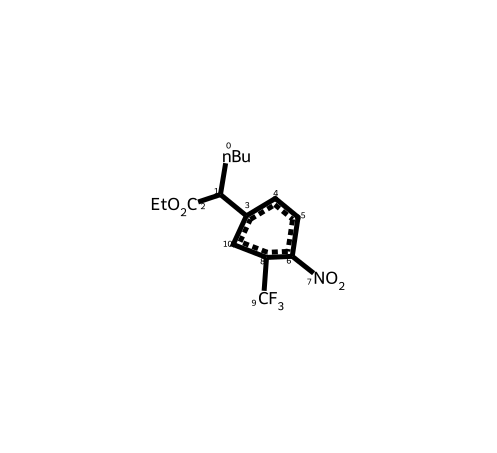 CCCCC(C(=O)OCC)c1ccc([N+](=O)[O-])c(C(F)(F)F)c1